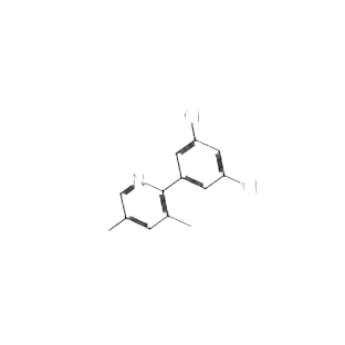 Cc1cnc(-c2cc(Cl)cc(Cl)c2)c(C)c1